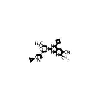 Cc1nc2nc(N3C[C@@H](C)O[C@@H](c4cnn(C5CC5)c4)C3)nc(C3CCC3)c2cc1C#N